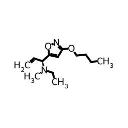 C=C[C@@H](c1cc(OCCCC)no1)N(C)CC